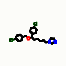 Clc1ccc(COC(CCCCCn2ccnc2)c2ccc(Cl)cc2)cc1